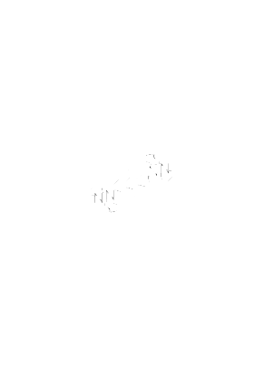 CC(C)(C)c1c2ccc(N(c3ccccn3)c3cccs3)cc2c(C(C)(C)C)c2ccc(N(c3ccccn3)c3cccs3)cc12